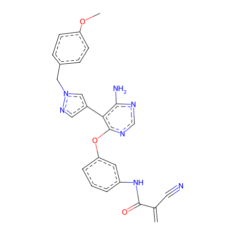 C=C(C#N)C(=O)Nc1cccc(Oc2ncnc(N)c2-c2cnn(Cc3ccc(OC)cc3)c2)c1